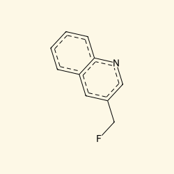 FCc1cnc2ccccc2c1